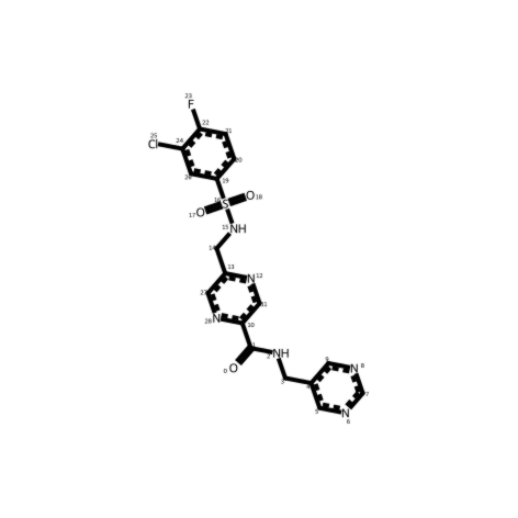 O=C(NCc1cncnc1)c1cnc(CNS(=O)(=O)c2ccc(F)c(Cl)c2)cn1